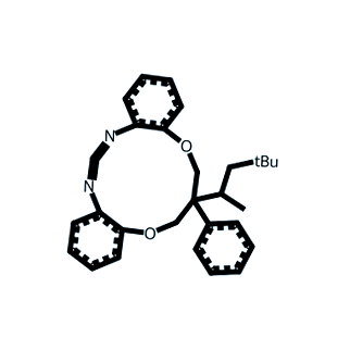 CC(CC(C)(C)C)C1(c2ccccc2)COc2ccccc2N=C=Nc2ccccc2OC1